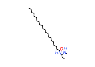 CCCCCCCCCCCCCCCCCCCCCC(=O)NC(CC)NC